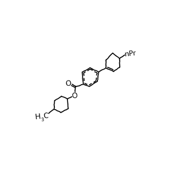 CCCC1CC=C(c2ccc(C(=O)OC3CCC(C)CC3)cc2)CC1